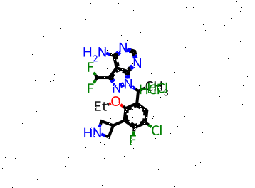 CCOc1c(C(C)n2nc(C(F)F)c3c(N)ncnc32)cc(Cl)c(F)c1C1CNC1.Cl.Cl